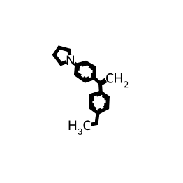 C=C(c1ccc(CC)cc1)c1ccc(N2CCCC2)cc1